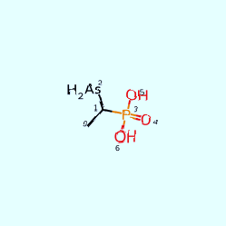 CC([AsH2])P(=O)(O)O